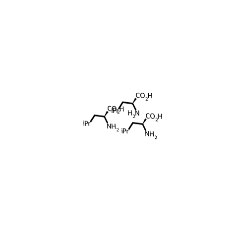 CC(C)C[C@H](N)C(=O)O.CC(C)C[C@H](N)C(=O)O.CC(C)C[C@H](N)C(=O)O